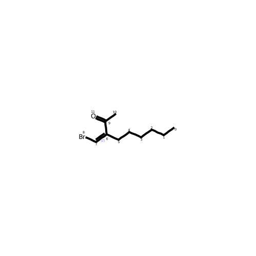 CCCCCC/C(=C/Br)C(C)=O